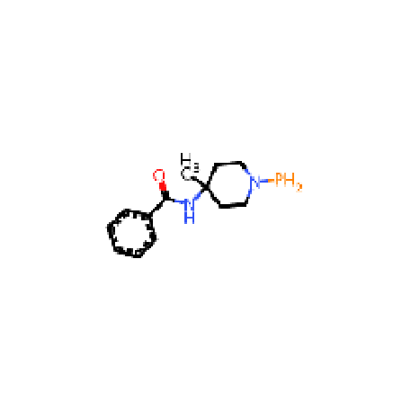 CC1(NC(=O)c2ccccc2)CCN(P)CC1